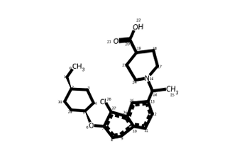 CC[C@H]1CC[C@@H](Oc2ccc3ccc(C(C)N4CCC(C(=O)O)CC4)cc3c2Cl)CC1